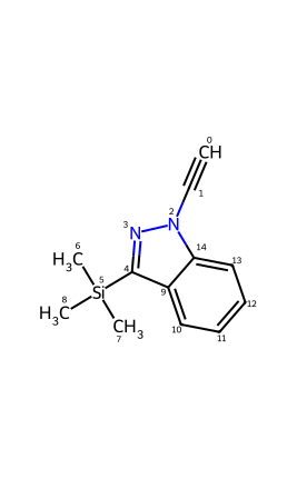 C#Cn1nc([Si](C)(C)C)c2ccccc21